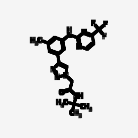 Cc1cc(Nc2nccc(C(F)(F)F)n2)cc(-c2cn(CC(=O)NC(C)(C)C)nn2)c1